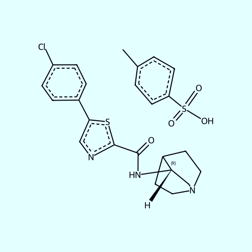 Cc1ccc(S(=O)(=O)O)cc1.O=C(N[C@H]1CN2CCC1CC2)c1ncc(-c2ccc(Cl)cc2)s1